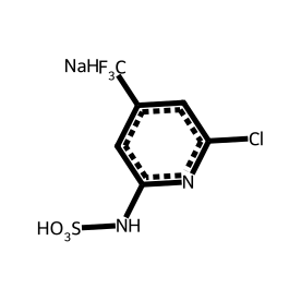 O=S(=O)(O)Nc1cc(C(F)(F)F)cc(Cl)n1.[NaH]